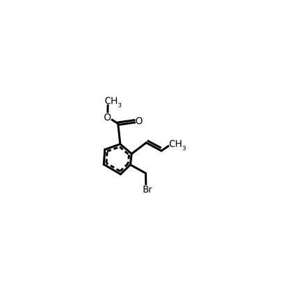 CC=Cc1c(CBr)cccc1C(=O)OC